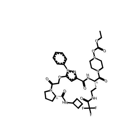 CCOC(=O)ON1CCN(C(=O)[C@H](CCNC(=O)C(F)(F)F)NC(=O)c2cc(OCC(=O)N3CCC[C@H]3C(=O)NC3CCC3)n(-c3ccccc3)n2)CC1